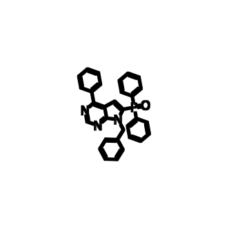 O=P(c1ccccc1)(c1ccccc1)c1cc2c(-c3ccccc3)ncnc2n1Cc1ccccc1